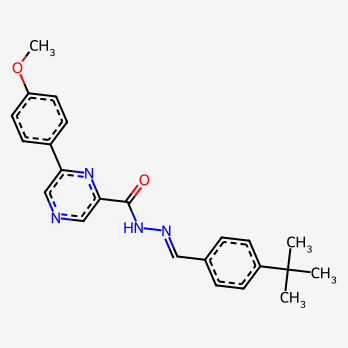 COc1ccc(-c2cncc(C(=O)N/N=C/c3ccc(C(C)(C)C)cc3)n2)cc1